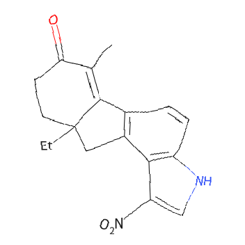 CCC12CCC(=O)C(C)=C1c1ccc3[nH]cc([N+](=O)[O-])c3c1C2